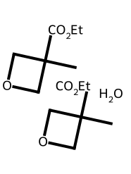 CCOC(=O)C1(C)COC1.CCOC(=O)C1(C)COC1.O